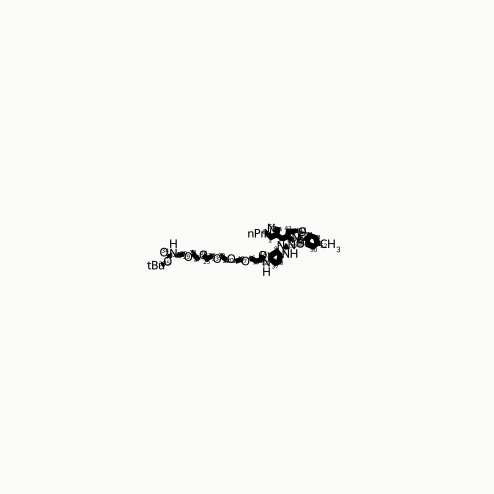 CCCn1cc(-c2nc(Nc3ccc(NC(=O)CCOCCOCCOCCOCCOCCNC(=O)OC(C)(C)C)cc3)nc3c2ccn3S(=O)(=O)c2ccc(C)cc2)cn1